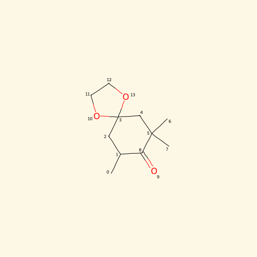 CC1CC2(CC(C)(C)C1=O)OCCO2